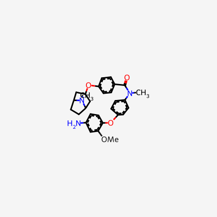 COc1cc(N)ccc1Oc1ccc(N(C)C(=O)c2ccc(OC3CC4CCC(C3)N4C)cc2)cc1